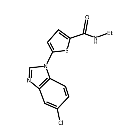 CCNC(=O)c1ccc(-n2cnc3cc(Cl)ccc32)s1